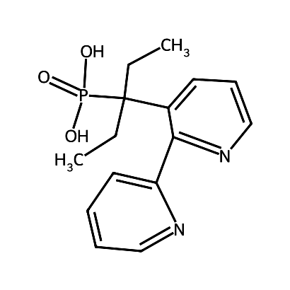 CCC(CC)(c1cccnc1-c1ccccn1)P(=O)(O)O